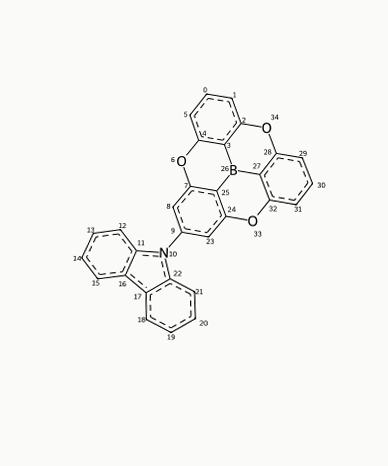 c1cc2c3c(c1)Oc1cc(-n4c5ccccc5c5ccccc54)cc4c1B3c1c(cccc1O4)O2